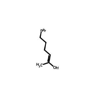 CCCCCC/C=C(\C)O